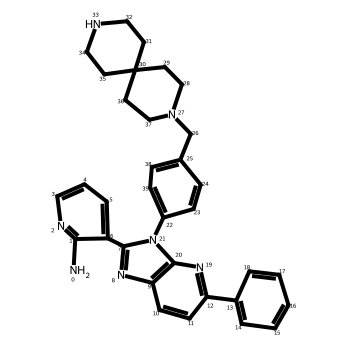 Nc1ncccc1-c1nc2ccc(-c3ccccc3)nc2n1-c1ccc(CN2CCC3(CCNCC3)CC2)cc1